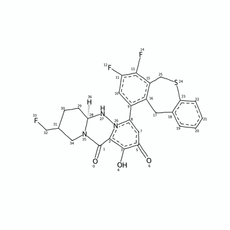 O=C1c2c(O)c(=O)cc(-c3cc(F)c(F)c4c3Cc3ccccc3SC4)n2N[C@@H]2CCC(CF)CN12